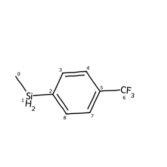 C[SiH2]c1ccc(C(F)(F)F)cc1